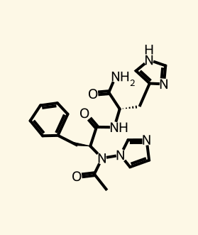 CC(=O)N([C@@H](Cc1ccccc1)C(=O)N[C@@H](Cc1c[nH]cn1)C(N)=O)n1ccnc1